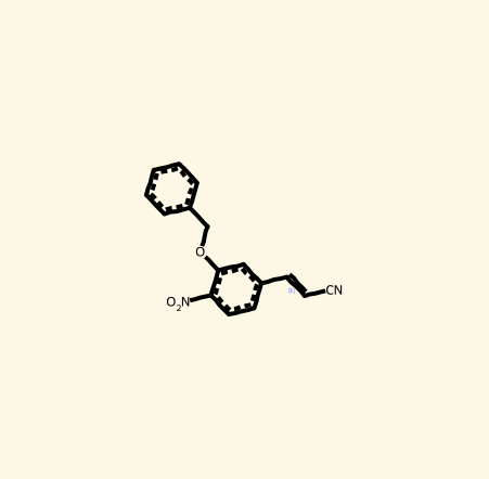 N#C/C=C/c1ccc([N+](=O)[O-])c(OCc2ccccc2)c1